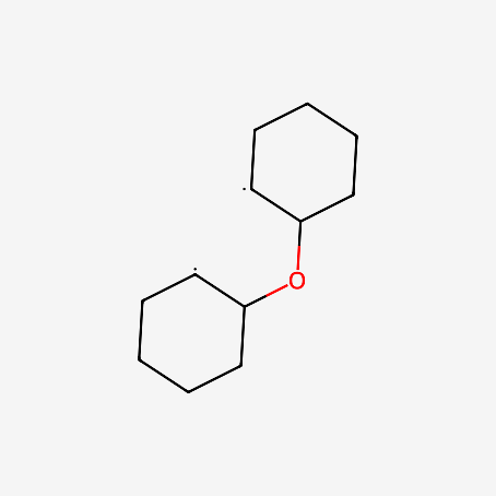 [CH]1CCCCC1OC1[CH]CCCC1